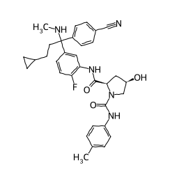 CNC(CCC1CC1)(c1ccc(C#N)cc1)c1ccc(F)c(NC(=O)[C@H]2C[C@@H](O)CN2C(=O)Nc2ccc(C)cc2)c1